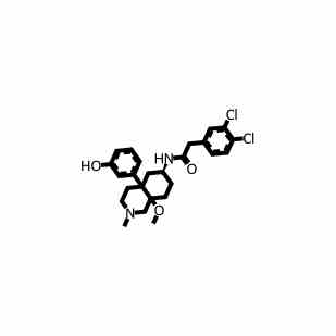 COC12CC[C@H](NC(=O)Cc3ccc(Cl)c(Cl)c3)CC1(c1cccc(O)c1)CCN(C)C2